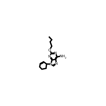 CCCCOc1nc(N)c2ncn(C3C=CCCC3)c2n1